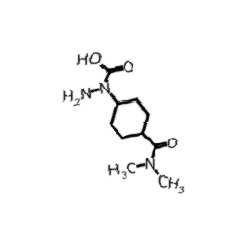 CN(C)C(=O)C1CCC(N(N)C(=O)O)CC1